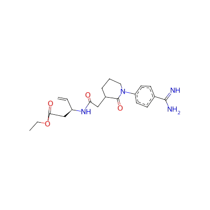 C=C[C@H](CC(=O)OCC)NC(=O)CC1CCCN(c2ccc(C(=N)N)cc2)C1=O